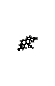 C=C1C[C@@]2(CC)C(CC[C@@H]2O)C2CCC3=CC(=O)CCC3C12